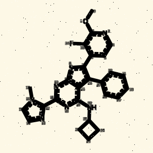 COc1nccc(-c2sc3nc(-c4nccn4C)nc(NC4CCC4)c3c2-c2ccccc2)c1F